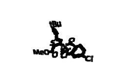 COC(=O)c1sc(C#CC(C)(C)C)cc1N(C(=O)c1ccc(Cl)cc1Cl)C(C)C